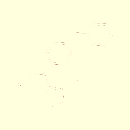 N#CCN(C1=C(C#N)CCC1)c1ccc(Oc2ccccc2)cc1